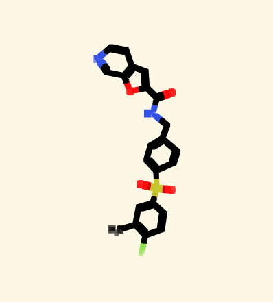 Cc1cc(S(=O)(=O)c2ccc(CNC(=O)c3cc4ccncc4o3)cc2)ccc1F